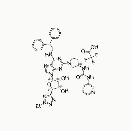 CCn1nnc([C@H]2O[C@@H](n3cnc4c(NCC(c5ccccc5)c5ccccc5)nc(N5CC[C@@H](NC(=O)Nc6cccnc6)C5)nc43)[C@H](O)[C@@H]2O)n1.O=C(O)C(F)(F)F